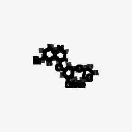 COc1cc(Oc2ccnc3ccc(Br)cc23)cc(OC2CCOC2)c1